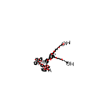 N#C[B-](c1ccccc1)(c1ccccc1)c1ccccc1.N#C[B-](c1ccccc1)(c1ccccc1)c1ccccc1.OCCCCCCCCCCC[N+]1(CCCCCCCCCCCO)C=CC(c2cc[nH+]cc2)=CC1